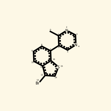 Cc1ncncc1-c1cccc2c(Br)csc12